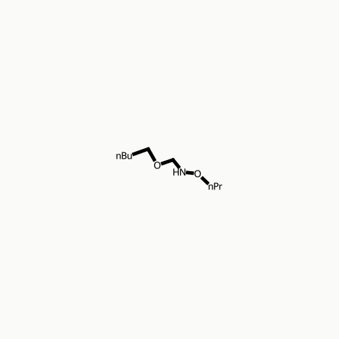 CCCCCOCNOCCC